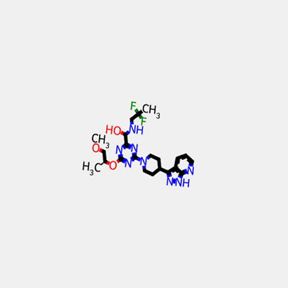 COC[C@@H](C)Oc1nc(C(O)NCC(C)(F)F)nc(N2CCC(c3n[nH]c4ncccc34)CC2)n1